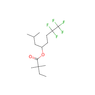 CCC(C)(C)C(=O)OC(CCC(F)(F)C(F)(F)F)CC(C)C